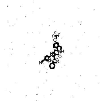 N#Cc1ccc(-n2nc3c(c2C(=O)NC2(C#N)CCCCC2)C(=O)N[C@@]2(CCc4cc(OCC(F)(F)F)ccc42)C3)nc1